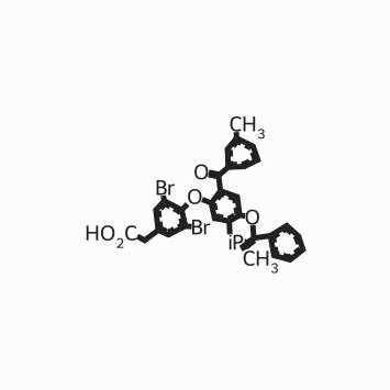 CC=C(Oc1cc(C(=O)c2cccc(C)c2)c(Oc2c(Br)cc(CC(=O)O)cc2Br)cc1C(C)C)c1ccccc1